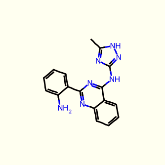 Cc1nc(Nc2nc(-c3ccccc3N)nc3ccccc23)n[nH]1